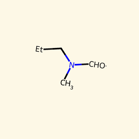 CCCN(C)[C]=O